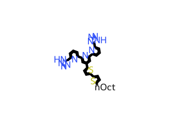 CCCCCCCCc1ccc(-c2ccc(-c3cc(-c4cccc(-c5nnn[nH]5)n4)nc(-c4cccc(-c5nnn[nH]5)n4)c3)s2)s1